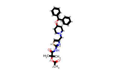 CC(=O)OC(C)(C)C(=O)Nc1nc(CN2CCC(OC(c3ccccc3)c3ccccc3)CC2)cs1